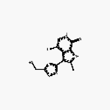 Cc1[nH]c2c(=O)[nH]cc(Br)c2c1-c1nnc(CO)o1